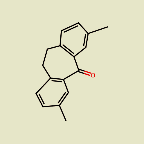 Cc1ccc2c(c1)C(=O)c1cc(C)ccc1CC2